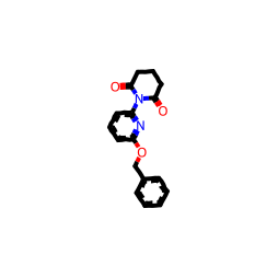 O=C1CCCC(=O)N1c1cccc(OCc2ccccc2)n1